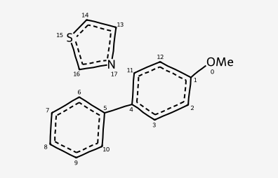 COc1ccc(-c2ccccc2)cc1.c1cscn1